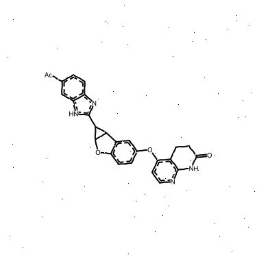 CC(=O)c1ccc2nc(C3C4Oc5ccc(Oc6ccnc7c6CCC(=O)N7)cc5C43)[nH]c2c1